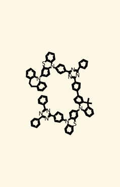 CC1(C)c2ccccc2N(c2ccc3c(c2)Sc2ccccc2N3c2ccc(-c3nc(-c4ccccc4)nc(-c4ccccc4)n3)cc2)c2ccc(-c3ccc(-c4nc(-c5ccccc5)nc(-c5ccc(N6c7ccccc7Sc7cc(N8c9ccccc9CCc9ccccc98)ccc76)cc5)n4)cc3)cc21